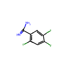 N=C(N)c1cc(F)c(F)cc1F